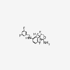 C[C@]1(c2cc(NCc3cc(F)cc(F)c3)ccc2F)N=C(N)OC[C@@H]1F